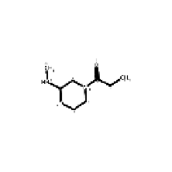 CCC(=O)N1CCOC(NC)C1